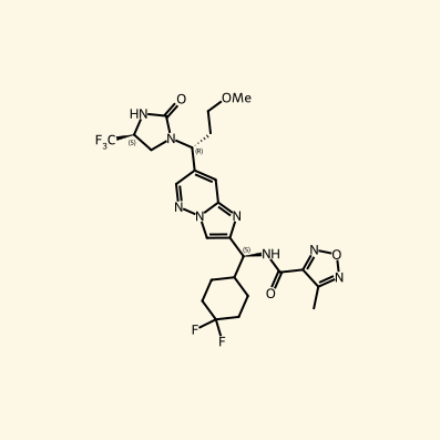 COCC[C@H](c1cnn2cc([C@@H](NC(=O)c3nonc3C)C3CCC(F)(F)CC3)nc2c1)N1C[C@@H](C(F)(F)F)NC1=O